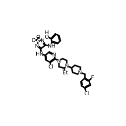 CC[C@H]1CN(c2ncc(NC3=NS(=O)(=O)N=C3Nc3ccccc3O)cc2Cl)CCN1C1CCN(Cc2ccc(Cl)cc2F)CC1